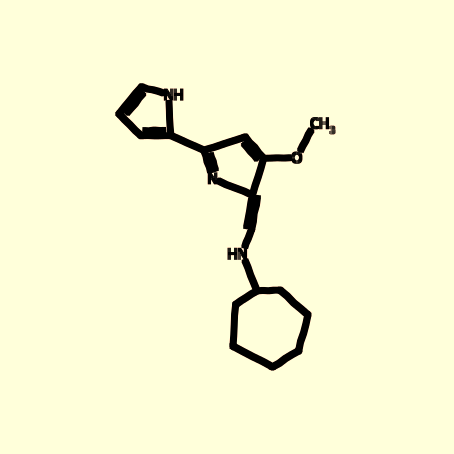 COC1=CC(c2ccc[nH]2)=N/C1=C\NC1CCCCCC1